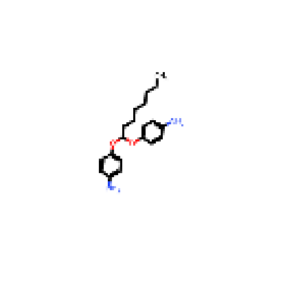 CCCCCCCC(Oc1ccc(N)cc1)Oc1ccc(N)cc1